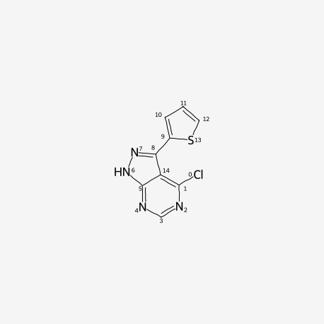 Clc1ncnc2[nH]nc(-c3cccs3)c12